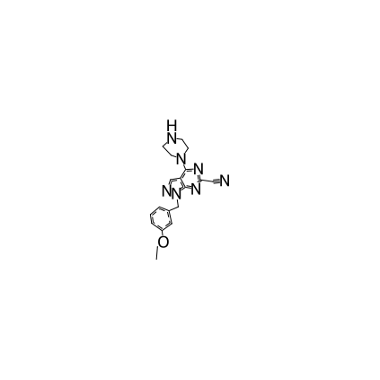 CCOc1cccc(Cn2ncc3c(N4CCNCC4)nc(C#N)nc32)c1